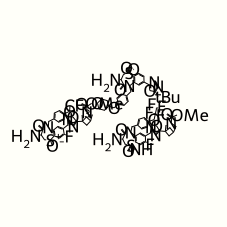 CC(C)(C)c1nnc(-c2ccc3c(c2)N(Cc2ccc(OC4CCOCC4)cc2)C(=O)[C@@H](N)CS3(=O)=O)o1.COC(=O)N1CC2CC(c3nc(-c4cc5c(cc4F)S(=N)(=O)C[C@H](N)C(=O)N5Cc4ccc(OC(F)(F)C(F)F)cc4)no3)(C2)C1.COC(=O)N1CC2CC(c3nc(-c4cc5c(cc4F)[S+]([O-])C[C@H](N)C(=O)N5Cc4ccc(OC(F)(F)F)cc4)no3)(C2)C1